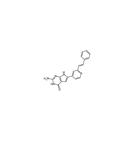 Nc1nc2[nH]c(-c3ccnc(C=Cc4ccccc4)c3)cc2c(=O)[nH]1